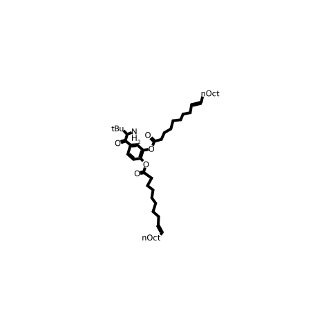 CCCCCCCC/C=C/CCCCCCCC(=O)Oc1ccc(C(=O)C(N)C(C)(C)C)cc1OC(=O)CCCCCCC/C=C/CCCCCCCC